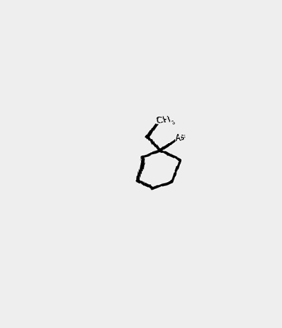 CCC1([As])CCCCC1